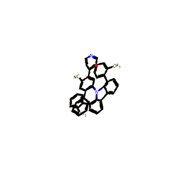 Cc1ccccc1-c1cccc2c3cccc(-c4ccccc4C)c3n(-c3cc(-c4ccncc4)c(C#N)cc3-c3ccccc3)c12